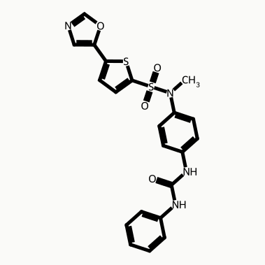 CN(c1ccc(NC(=O)Nc2ccccc2)cc1)S(=O)(=O)c1ccc(-c2cnco2)s1